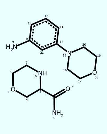 NC(=O)C1COCCN1.Nc1cccc(N2CCOCC2)c1